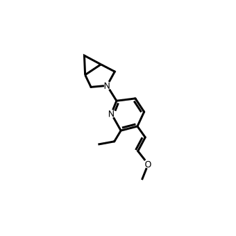 CCc1nc(N2CC3CC3C2)ccc1C=COC